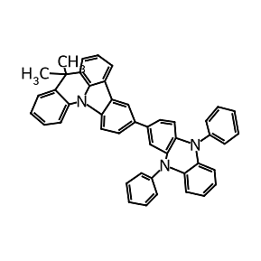 CC1(C)c2ccccc2-n2c3ccc(-c4ccc5c(c4)N(c4ccccc4)c4ccccc4N5c4ccccc4)cc3c3cccc1c32